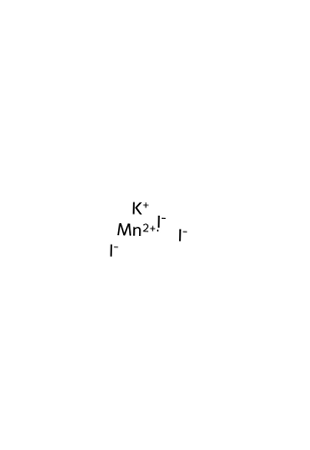 [I-].[I-].[I-].[K+].[Mn+2]